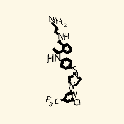 C=C(Nc1ccc(SN2CCN(c3cc(C(F)(F)F)cc(Cl)n3)CC2)cc1)c1ccccc1CNCCCN